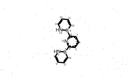 C1=CNB(c2cccc(B3C=CC=CN3)n2)C=C1